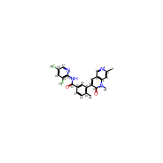 Cc1cc2c(cn1)cc(-c1cc(C(=O)Nc3ncc(F)cc3F)ccc1C)c(=O)n2C